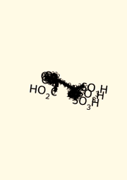 O=C(O)CCC[N+]1=C(/C=C/C=C/C=C/C=c2\c3cccc4c(S(=O)(=O)O)cc(S(=O)(=O)O)c(c43)n2CCCS(=O)(=O)O)c2cccc3c(S(=O)(=O)[O-])ccc1c23